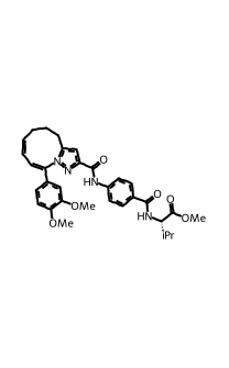 COC(=O)[C@@H](NC(=O)c1ccc(NC(=O)c2cc3n(n2)/C(c2ccc(OC)c(OC)c2)=C\C=C/CCC3)cc1)C(C)C